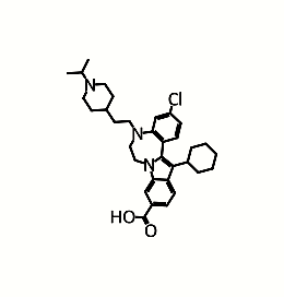 CC(C)N1CCC(CCN2CCn3c(c(C4CCCCC4)c4ccc(C(=O)O)cc43)-c3ccc(Cl)cc32)CC1